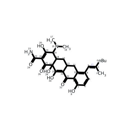 CCCC/C(C)=C/c1ccc(O)c2c1CC1CC3C(N(C)C)C(O)=C(C(N)=O)C(=O)C3(O)C(O)=C1C2=O